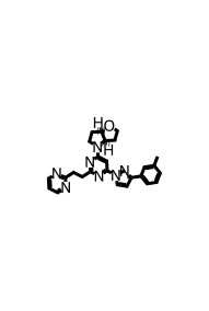 Cc1cccc(-c2ccn(-c3cc(N4CC[C@H]5OCC[C@H]54)nc(CCc4ncccn4)n3)n2)c1